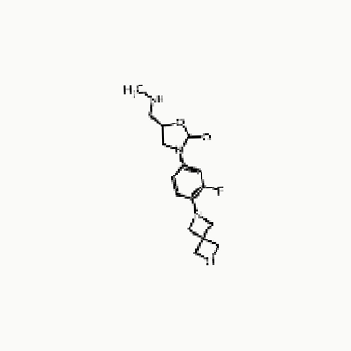 CNCC1CN(c2ccc(N3CC4(COC4)C3)c(F)c2)C(=O)O1